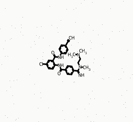 C#Cc1ccc(NC(=O)c2cc(Cl)ccc2NC(=O)c2ccc(C(=N)N(C)CCN(C)C)cc2)cc1